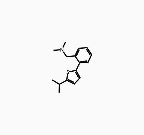 CC(C)c1ccc(-c2ccccc2CN(C)C)s1